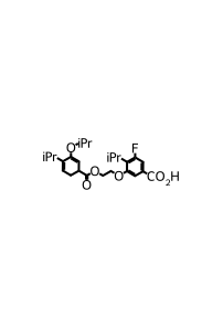 CC(C)OC1=CC(C(=O)OCCOc2cc(C(=O)O)cc(F)c2C(C)C)CC=C1C(C)C